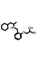 CC(CC1CCCCC1)NCc1ccccc1OCC(O)C(C)C